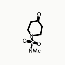 CNS(=O)(=O)N1CCC(=O)CC1